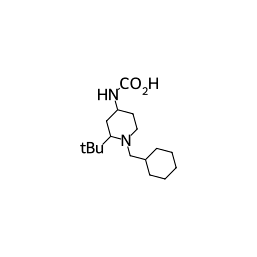 CC(C)(C)C1CC(NC(=O)O)CCN1CC1CCCCC1